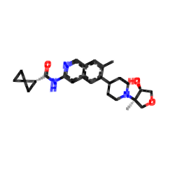 Cc1cc2cnc(NC(=O)[C@@H]3CC34CC4)cc2cc1C1CCN([C@]2(C)COC[C@@H]2O)CC1